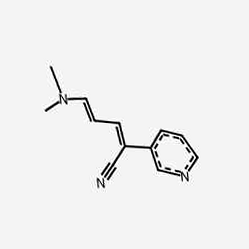 CN(C)C=CC=C(C#N)c1cccnc1